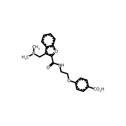 CN(C)Cc1c(C(=O)NCCOc2ccc(C(=O)O)cc2)oc2ccccc12